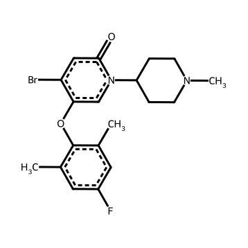 Cc1cc(F)cc(C)c1Oc1cn(C2CCN(C)CC2)c(=O)cc1Br